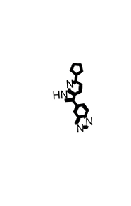 c1ncc2cc(-c3c[nH]c4nc(C5CCCC5)ccc34)ccc2n1